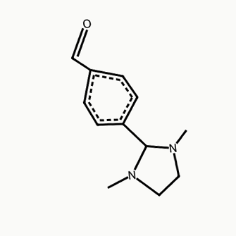 CN1CCN(C)C1c1ccc(C=O)cc1